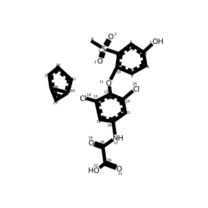 CS(=O)(=O)c1cc(O)ccc1Oc1c(Cl)cc(NC(=O)C(=O)O)cc1Cl.c1cc2cc-2c1